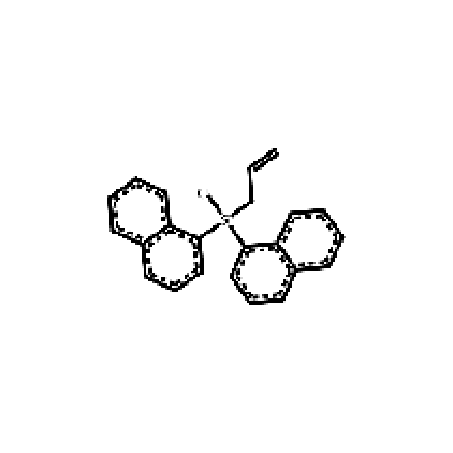 C=CC[Si](Cl)(c1cccc2ccccc12)c1cccc2ccccc12